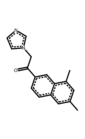 Cc1cc(C)c2cc(C(=O)Cn3ccnc3)ccc2c1